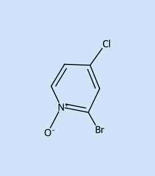 [O-][n+]1ccc(Cl)cc1Br